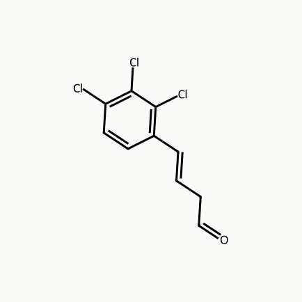 O=CCC=Cc1ccc(Cl)c(Cl)c1Cl